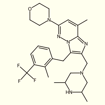 Cc1c(Cc2c(CN3CC(C)NC(C)C3)nc3c(C)cc(N4CCOCC4)nn23)cccc1C(F)(F)F